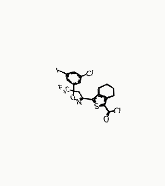 O=C(Cl)c1sc(C2=NOC(c3cc(Cl)cc(I)c3)(C(F)(F)F)C2)c2c1CCCC2